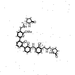 COc1nc(-c2ccnc(-c3cccc(Nc4nccc(CNC[C@H]5CCC(=O)N5)c4C(F)(F)F)c3Cl)c2Cl)ccc1CNC[C@@H]1CCC(=O)N1